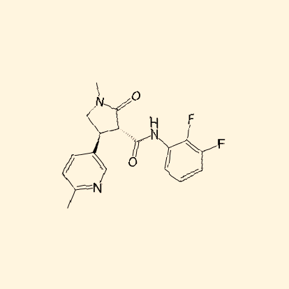 Cc1ccc([C@H]2CN(C)C(=O)[C@@H]2C(=O)Nc2cccc(F)c2F)cn1